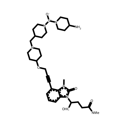 CNC(=O)CCC(C=O)n1c(=O)n(C)c2c(C#CCOC3CCN(CC4CCN([S+]([O-])N5CCC(N)CC5)CC4)CC3)cccc21